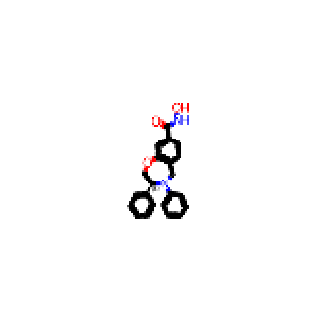 O=C(NO)c1ccc2c(c1)OC[C@H](c1ccccc1)N(c1ccccc1)C2